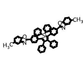 Cc1ccc2oc(-c3ccc(C4=C(c5ccccc5)C(c5ccccc5)=C(c5ccc(-c6nc7cc(C)ccc7o6)cc5)[Si]4(c4ccccc4)c4ccccc4)cc3)nc2c1